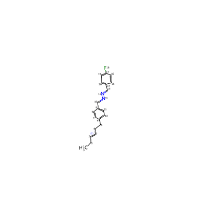 CC/C=C/CCc1ccc(C=NN=Cc2ccc(F)cc2)cc1